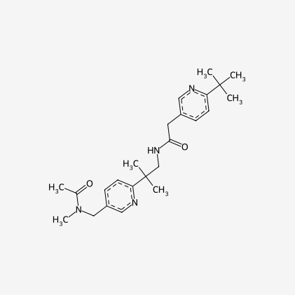 CC(=O)N(C)Cc1ccc(C(C)(C)CNC(=O)Cc2ccc(C(C)(C)C)nc2)nc1